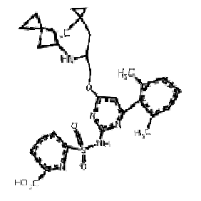 Cc1cccc(C)c1-c1cc(OCC(CC2(C(F)(F)F)CC2)NC2CC3(CC3)C2)nc(NS(=O)(=O)c2cccc(C(=O)O)n2)n1